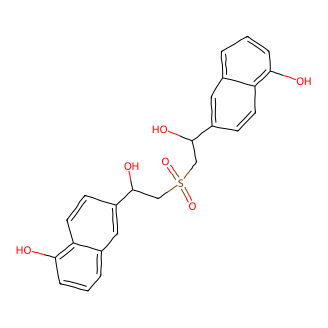 O=S(=O)(CC(O)c1ccc2c(O)cccc2c1)CC(O)c1ccc2c(O)cccc2c1